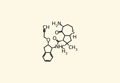 C#CCO[C@@H]1Cc2ccccc2[C@@H]1NC(=O)[C@H]1C2C(=O)[C@@H](N)CCS[C@H]2CC1(C)C